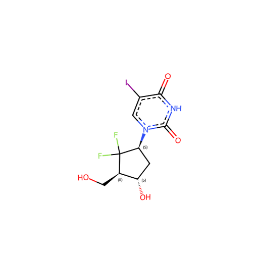 O=c1[nH]c(=O)n([C@H]2C[C@H](O)[C@@H](CO)C2(F)F)cc1I